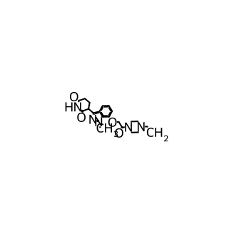 C=CN1CCN(C(=O)COc2cccc3c(C4CCC(=O)NC4=O)nn(C)c23)CC1